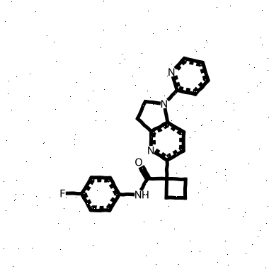 O=C(Nc1ccc(F)cc1)C1(c2ccc3c(n2)CCN3c2ccccn2)CCC1